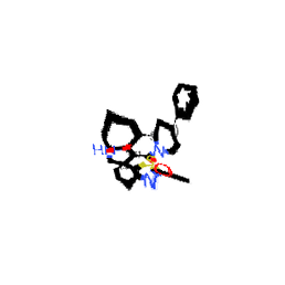 Cc1nc2c(s1)[C@]1(CCC2)CNC[C@H]1C(=O)N1CC[C@@H](c2ccccc2)C[C@H]1C1CCCCC1